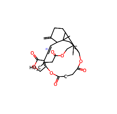 C=C1CCC2C(C)(COC(=O)CCC(=O)O)C3CCC2(C)C1/C=C/C1=C(COC1=O)OC(=O)CCC(=O)O3